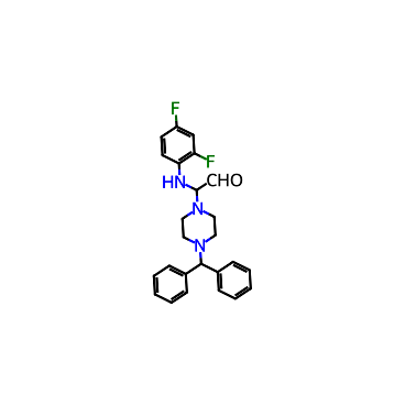 O=CC(Nc1ccc(F)cc1F)N1CCN(C(c2ccccc2)c2ccccc2)CC1